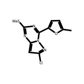 CSc1nc(-c2ccc(C)o2)n2nc(Cl)cc2n1